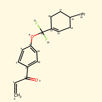 C=CC(=O)c1ccc(OC(F)(F)C2=CCC(CCC)CC2)cc1